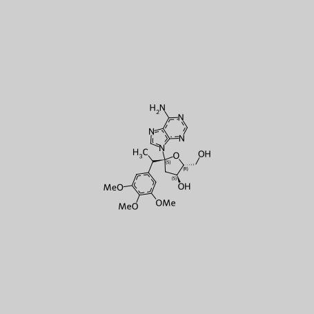 COc1cc(C(C)[C@]2(n3cnc4c(N)ncnc43)C[C@H](O)[C@@H](CO)O2)cc(OC)c1OC